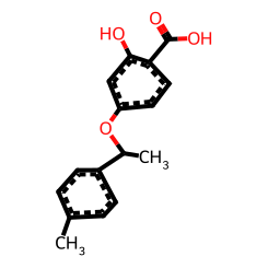 Cc1ccc(C(C)Oc2ccc(C(=O)O)c(O)c2)cc1